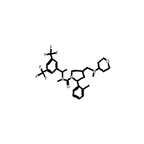 Cc1ccccc1C1CC(CN(C)C2CCOCC2)CCN1C(=O)N(C)C(C)c1cc(C(F)(F)F)cc(C(F)(F)F)c1